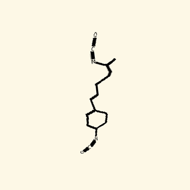 CC(CCCCC1CCC(N=C=O)CC1)N=C=O